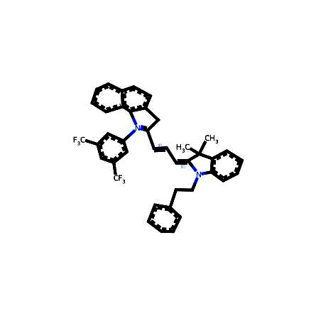 CC1(C)/C(=C\C=C\C2=[N+](c3cc(C(F)(F)F)cc(C(F)(F)F)c3)c3c(ccc4ccccc34)C2)N(CCc2ccccc2)c2ccccc21